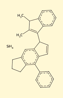 CC1=C(C2C=Cc3c2cc2c(c3-c3ccccc3)CCC2)c2ccccc2C1C.[SiH4]